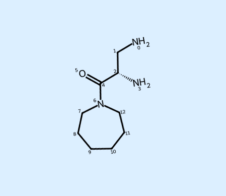 NC[C@H](N)C(=O)N1CCCCCC1